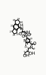 CN(CC(O)CO)C(=O)c1cc(S(=O)(=O)NC(=O)Nc2c3c(cc4c2CCC4)CCC3)nn1C